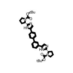 CC(C)(C)OC(=O)N1CCC[C@H]1c1ncc(-c2ccc(-c3cccc(-c4cnc([C@@H]5CCCN5C(=O)OC(C)(C)C)[nH]4)c3)cc2)[nH]1